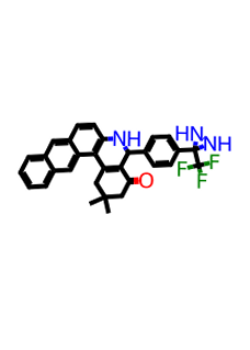 CC1(C)CC(=O)C2=C(C1)c1c(ccc3cc4ccccc4cc13)NC2c1ccc(C2(C(F)(F)F)NN2)cc1